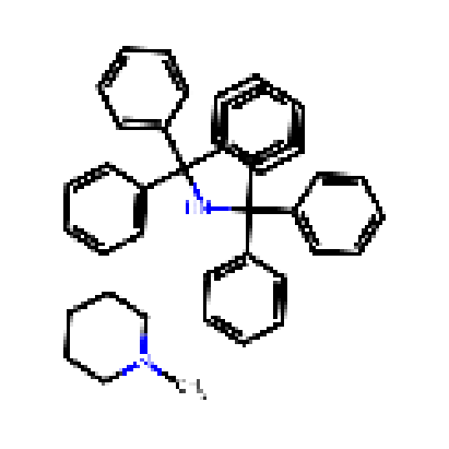 CN1CCCCC1.c1ccc(C(NC(c2ccccc2)(c2ccccc2)c2ccccc2)(c2ccccc2)c2ccccc2)cc1